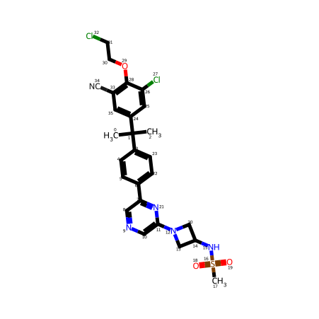 CC(C)(c1ccc(-c2cncc(N3CC(NS(C)(=O)=O)C3)n2)cc1)c1cc(Cl)c(OCCCl)c(C#N)c1